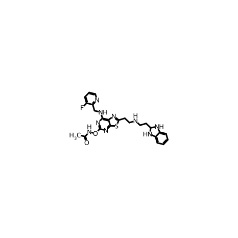 CC(=O)NOc1nc(NCc2ncccc2F)c2nc(CCNCCC3Nc4ccccc4N3)sc2n1